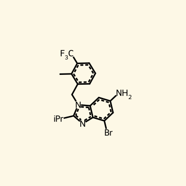 Cc1c(Cn2c(C(C)C)nc3c(Br)cc(N)cc32)cccc1C(F)(F)F